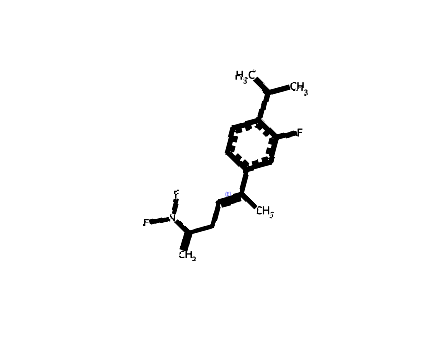 C=C(C/C=C(\C)c1ccc(C(C)C)c(F)c1)N(F)F